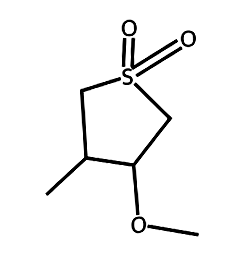 COC1CS(=O)(=O)CC1C